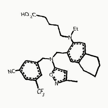 CCN(CCCCC(=O)O)c1cc2c(cc1CN(Cc1cc(C#N)cc(C(F)(F)F)c1)c1cc(C)no1)CCCC2